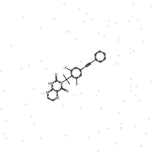 CC(C)(c1c(F)cc(C#Cc2ccccc2)cc1F)n1c(=O)[nH]c2nccnc2c1=O